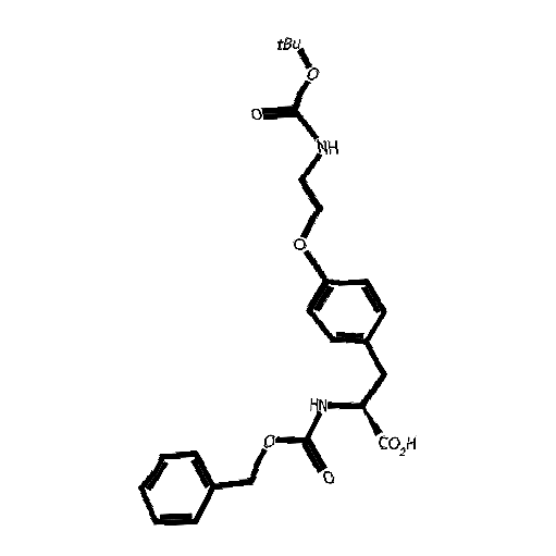 CC(C)(C)OC(=O)NCCOc1ccc(C[C@H](NC(=O)OCc2ccccc2)C(=O)O)cc1